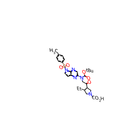 CCC1CN(C(=O)O)CC1C(=O)CN(C(=O)OC(C)(C)C)c1cnc2c(ccn2S(=O)(=O)c2ccc(C)cc2)n1